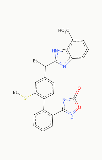 CCSc1cc(C(CC)c2nc3cccc(C(=O)O)c3[nH]2)ccc1-c1ccccc1-c1nc(=O)o[nH]1